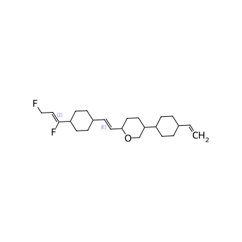 C=CC1CCC(C2CCC(/C=C/C3CCC(/C(F)=C/CF)CC3)OC2)CC1